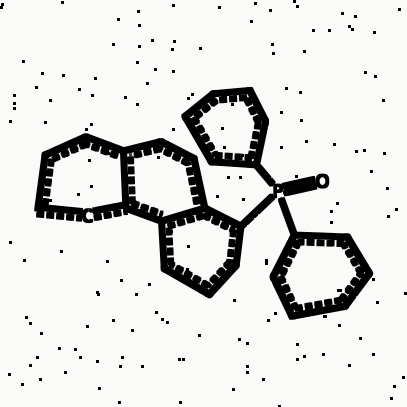 O=P(c1ccccc1)(c1ccccc1)c1cccc2c1ccc1ccccc12